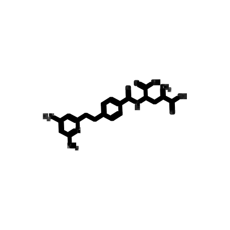 C=C(CC(NC(=O)c1ccc(CCc2cc(N)cc(N)n2)cc1)C(=O)O)C(=O)O